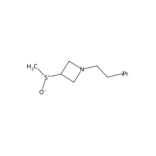 CC(C)CCN1CC([S+](C)[O-])C1